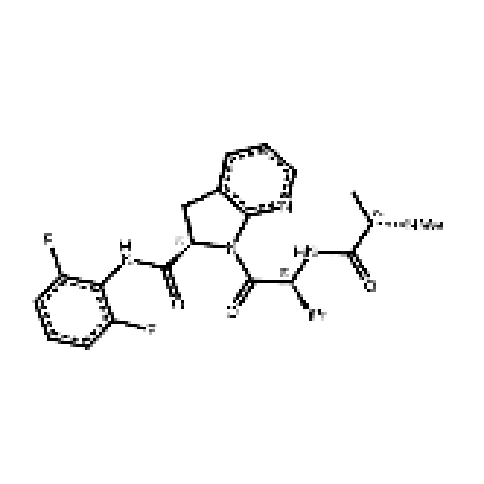 CN[C@@H](C)C(=O)N[C@H](C(=O)N1c2ncccc2C[C@@H]1C(=O)Nc1c(F)cccc1F)C(C)C